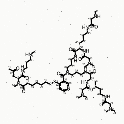 CNCCCNC(=O)[C@H](CC(C)=O)N(C)C(=O)CCCCCSSc1ccncc1C(=O)N(CCCNC(=O)[C@H](CCCCNC(=O)CNC)NC(=O)CN(C)C)CCCNC(=O)[C@H](CCCCNC(=O)CN(C)C)NC(=O)CN(C)C